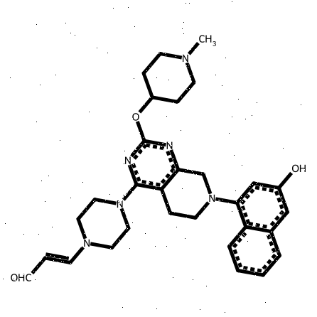 CN1CCC(Oc2nc3c(c(N4CCN(C=CC=O)CC4)n2)CCN(c2cc(O)cc4ccccc24)C3)CC1